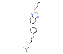 C=CCOc1cnc2cc(-c3ccc(/C=C/CCCC(C)F)cc3)ccc2n1